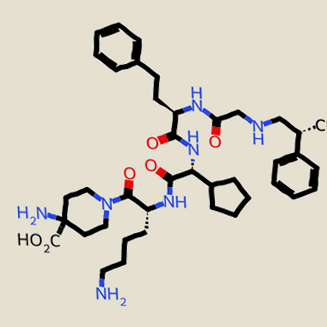 C[C@@H](CNCC(=O)N[C@H](CCc1ccccc1)C(=O)N[C@@H](C(=O)N[C@H](CCCCN)C(=O)N1CCC(N)(C(=O)O)CC1)C1CCCC1)c1ccccc1